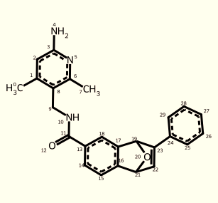 Cc1cc(N)nc(C)c1CNC(=O)c1ccc2c(c1)C1OC2C=C1c1ccccc1